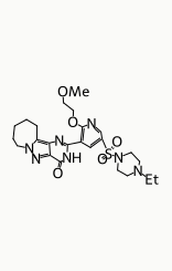 CCN1CCN(S(=O)(=O)c2cnc(OCCOC)c(-c3nc4c5n(nc4c(=O)[nH]3)CCCCC5)c2)CC1